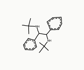 CC(C)(C)NC(c1ccccc1)C(NC(C)(C)C)c1ccccc1